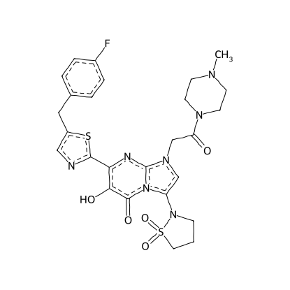 CN1CCN(C(=O)Cn2cc(N3CCCS3(=O)=O)n3c(=O)c(O)c(-c4ncc(Cc5ccc(F)cc5)s4)nc23)CC1